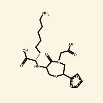 NCCCCCC[C@H](NC1CSC(c2cccs2)CN(CC(=O)O)C1=O)C(=O)O